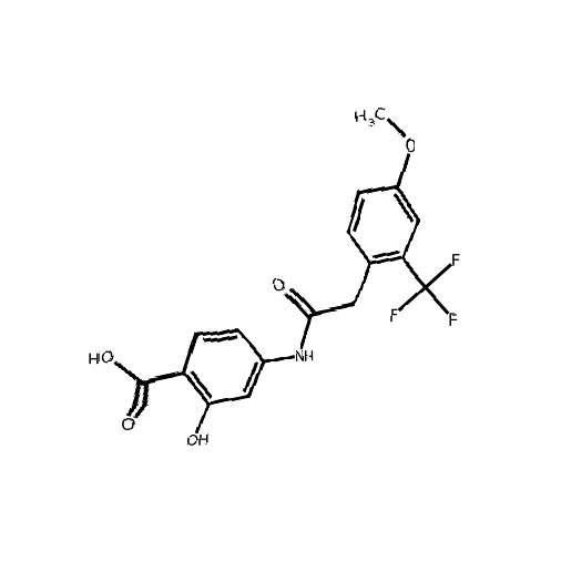 COc1ccc(CC(=O)Nc2ccc(C(=O)O)c(O)c2)c(C(F)(F)F)c1